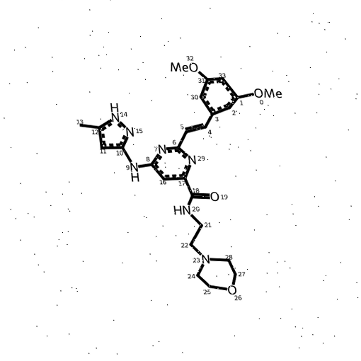 COc1cc(/C=C/c2nc(Nc3cc(C)[nH]n3)cc(C(=O)NCCN3CCOCC3)n2)cc(OC)c1